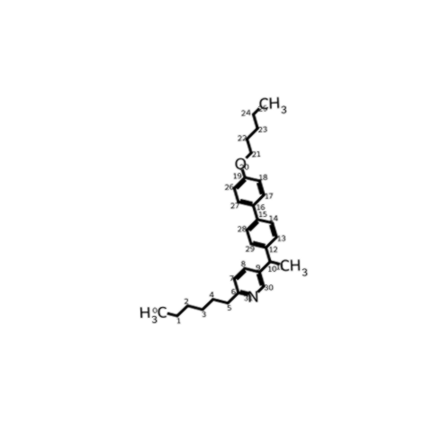 CCCCCCc1ccc(C(C)c2ccc(-c3ccc(OCCCCC)cc3)cc2)cn1